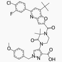 COc1ccc(Cn2cc(N3CCN(C(=O)c4cc5nc(-c6ccc(Cl)c(F)c6)cc(C(C)(C)C)c5o4)C(C)(C)C3=O)c(C(=O)O)n2)cc1